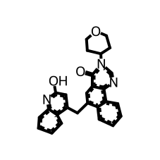 O=c1c2cc(Cc3cc(O)nc4ccccc34)c3ccccc3c2ncn1C1CCOCC1